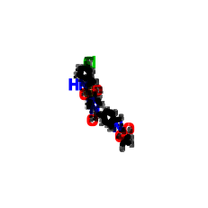 CC(C)(C)OC(=O)N1Cc2ccc(C(=O)N3CCN(S(=O)(=O)c4cc5cc(Cl)ccc5[nH]4)CC3)cc2C1